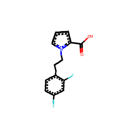 O=C(O)c1cccn1CCc1ccc(F)cc1F